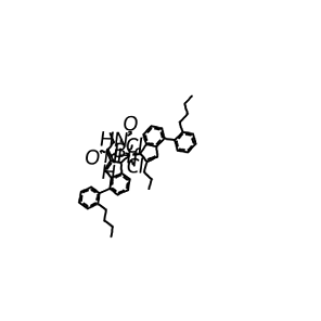 CCCCc1ccccc1-c1cccc2c1C=C(CCC)[CH]2[Hf]([Cl])([Cl])([B](NC=O)NC=O)[CH]1C(CCC)=Cc2c(-c3ccccc3CCCC)cccc21